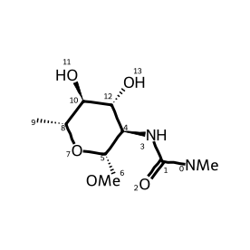 CNC(=O)N[C@H]1[C@H](OC)O[C@H](C)[C@@H](O)[C@@H]1O